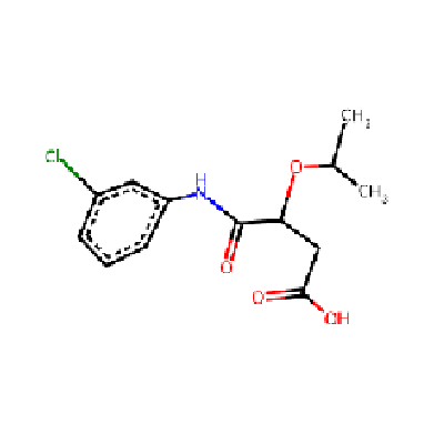 CC(C)OC(CC(=O)O)C(=O)Nc1cccc(Cl)c1